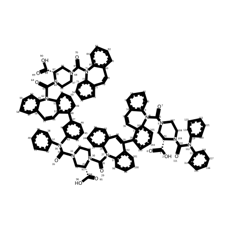 O=C(O)[C@@H]1CN(C(=O)N2c3ccccc3C=Cc3c(C4=Cc5ccccc5N(C(=O)N5CCN(C(=O)N(c6ccccc6)c6cccc(-c7cccc8c7C=Cc7ccccc7N8C(=O)N7CCN(C(=O)N8c9ccccc9C=Cc9ccccc98)C[C@H]7C(=O)O)c6)C[C@H]5C(=O)O)c5ccccc54)cccc32)CCN1C(=O)N(c1ccccc1)c1ccccc1